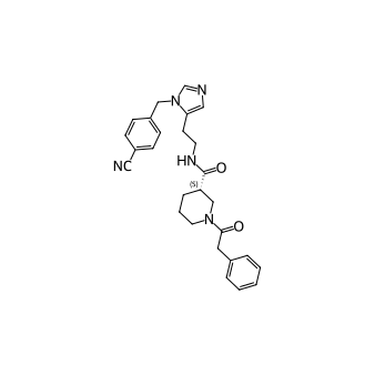 N#Cc1ccc(Cn2cncc2CCNC(=O)[C@H]2CCCN(C(=O)Cc3ccccc3)C2)cc1